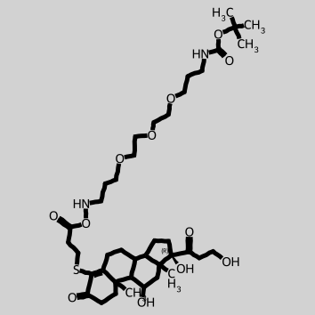 CC(C)(C)OC(=O)NCCCOCCOCCOCCCNOC(=O)CCSC1=C2CCC3C(C(O)CC4(C)C3CC[C@]4(O)C(=O)CCO)C2(C)CCC1=O